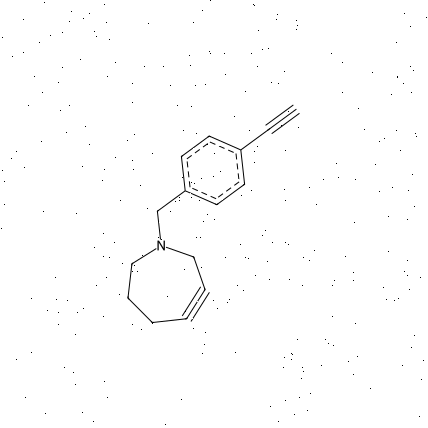 C#Cc1ccc(CN2CC#CCCC2)cc1